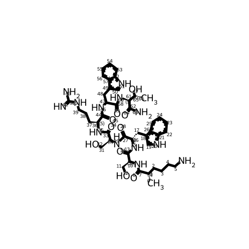 C[C@@H](CCCCN)C(=O)N[C@@H](CO)C(=O)N[C@@H](Cc1c[nH]c2ccccc12)C(=O)N[C@@H](CO)C(=O)N[C@@H](CCCNC(=N)N)C(=O)NC(Cc1c[nH]c2ccccc12)C(=O)N[C@H](C(N)=O)[C@@H](C)O